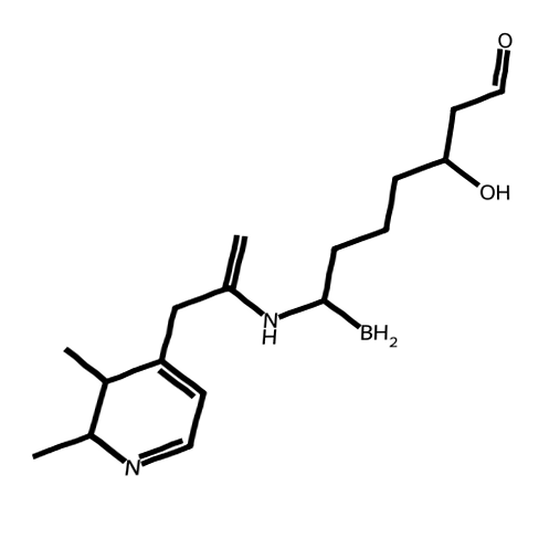 BC(CCCC(O)CC=O)NC(=C)CC1=CC=NC(C)C1C